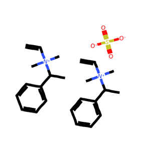 C=C[N+](C)(C)C(C)c1ccccc1.C=C[N+](C)(C)C(C)c1ccccc1.O=S(=O)([O-])[O-]